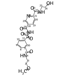 COCCNC(=O)c1cccc(S(=O)(=O)NC(=O)c2ccc(C(=O)NCCO)nc2)c1